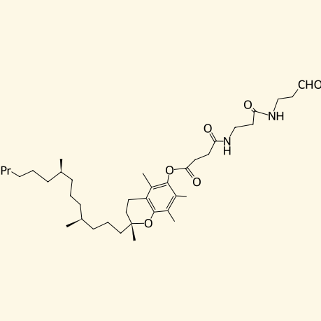 Cc1c(C)c2c(c(C)c1OC(=O)CCC(=O)NCCC(=O)NCCC=O)CC[C@@](C)(CCC[C@@H](C)CCC[C@H](C)CCCC(C)C)O2